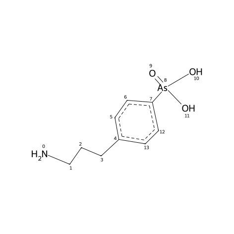 NCCCc1ccc([As](=O)(O)O)cc1